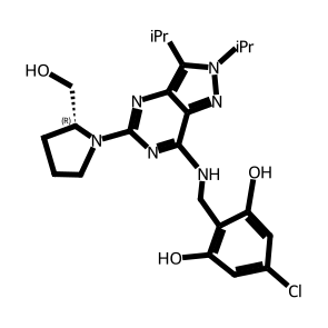 CC(C)c1c2nc(N3CCC[C@@H]3CO)nc(NCc3c(O)cc(Cl)cc3O)c2nn1C(C)C